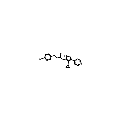 O=C(CCc1ccc(Cl)cc1)Nc1[nH]nc(-c2ccnnc2)c1C1CC1